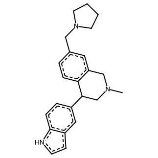 CN1Cc2cc(CN3CCCC3)ccc2C(c2ccc3[nH]ccc3c2)C1